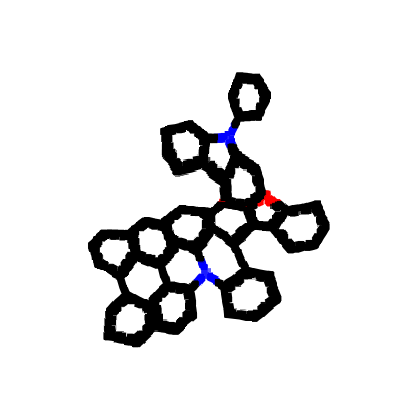 CC1C=c2oc3ccccc3c2=C(c2ccccc2N(c2cccc(-c3cccc4c3c3ccccc3n4-c3ccccc3)c2)c2ccccc2-c2cccc3cccc(-c4ccccc4)c23)C1